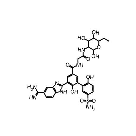 CCC1OC(O)C(NC(=O)CNC(=O)c2cc(-c3nc4cc(C(=N)N)ccc4[nH]3)c(O)c(-c3cc(S(N)(=O)=O)ccc3O)c2)C(O)C1O